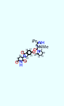 CN/C(=C\C(=N)C(C)C)C(=O)N1CCCC[C@H]1COc1ccc2c(c1)CN(C1CCC(=O)NC1=O)C2=O